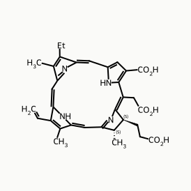 C=Cc1c(C)c2cc3nc(c(CC(=O)O)c4[nH]c(cc5nc(cc1[nH]2)C(C)=C5CC)cc4C(=O)O)[C@@H](CCC(=O)O)[C@@H]3C